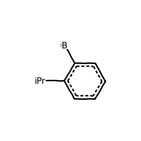 [B]c1ccccc1C(C)C